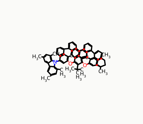 Cc1cc(C)c2c(c1)c1cc(C)cc(C)c1n2-c1ccc2c(c1)Oc1c(cc3c(c1C(C)(C)C)Oc1cc4c(cc1B3c1c(-c3ccccc3)cccc1-c1ccccc1)C1(C)CCC4(C)CC1)B2c1c(-c2ccccc2)cccc1-c1ccccc1